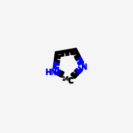 c1c[nH][14cH]n1